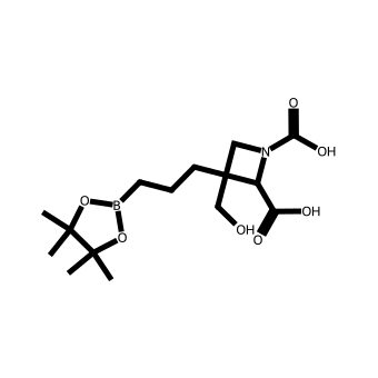 CC1(C)OB(CCCC2(CO)CN(C(=O)O)C2C(=O)O)OC1(C)C